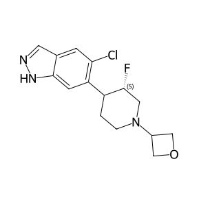 F[C@@H]1CN(C2COC2)CCC1c1cc2[nH]ncc2cc1Cl